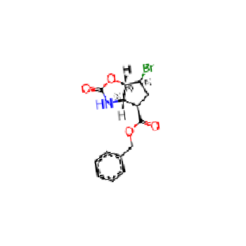 O=C1N[C@H]2C(C(=O)OCc3ccccc3)C[C@H](Br)[C@H]2O1